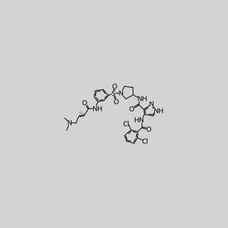 CN(C)C/C=C/C(=O)Nc1cccc(S(=O)(=O)N2CCC(NC(=O)c3n[nH]cc3NC(=O)c3c(Cl)cccc3Cl)C2)c1